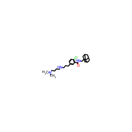 CN(C)CCCCNCCCc1ccc(Cl)c(C(=O)NCC23CC4CC(CC(C4)C2)C3)c1